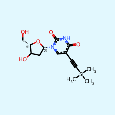 C[Si](C)(C)C#Cc1cn([C@@H]2CC(O)[C@H](CO)O2)c(=O)[nH]c1=O